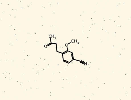 COc1cc(C#N)ccc1CCC(C)=O